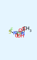 COc1ccc2ncc(Cl)c(C(=O)CCC3CCN(CC#Cc4sccc4F)CC3CC(=O)O)c2c1